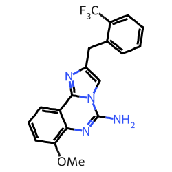 COc1cccc2c1nc(N)n1cc(Cc3ccccc3C(F)(F)F)nc21